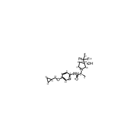 C[C@@H](C(=O)Nc1ccc(OCC2CC2)cn1)N1CC[C@@](O)(C(F)(F)F)C1